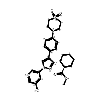 COC(=O)[C@@H]1CCCC[C@H]1c1nn(-c2cncc(Cl)c2)cc1-c1ccc(N2CCS(=O)(=O)CC2)cc1